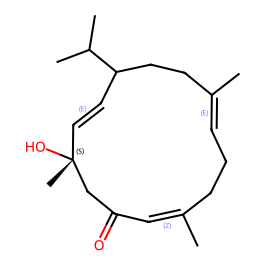 C/C1=C/C(=O)C[C@](C)(O)/C=C/C(C(C)C)CC/C(C)=C/CC1